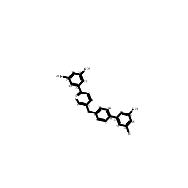 C=C(/C=C\C(=C/C)Cc1ccc(-c2cc(C)cc(F)c2)cc1)c1cc(F)cc(F)c1